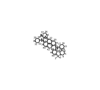 CC1(C)c2ccccc2-c2c(N(c3ccccc3)c3ccc4ccc5c(N(c6ccccc6)c6ncccn6)ccc6ccc3c4c65)cccc21